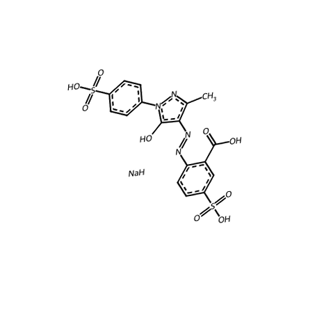 Cc1nn(-c2ccc(S(=O)(=O)O)cc2)c(O)c1N=Nc1ccc(S(=O)(=O)O)cc1C(=O)O.[NaH]